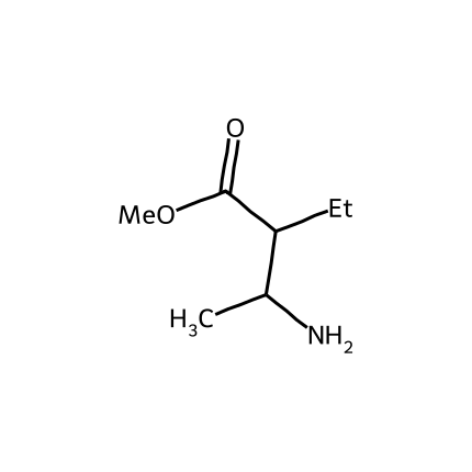 CCC(C(=O)OC)C(C)N